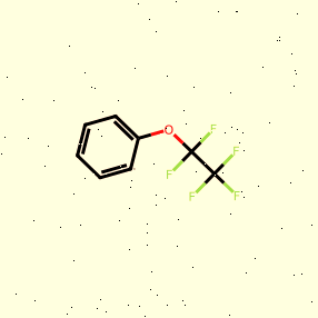 FC(F)(F)C(F)(F)Oc1[c]cccc1